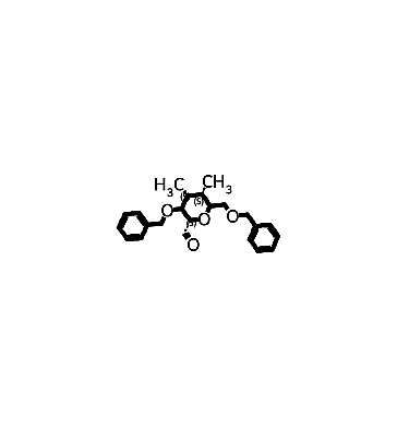 C[C@@H]1C(COCc2ccccc2)O[C@H](C=O)C(OCc2ccccc2)[C@H]1C